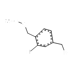 COOCc1ccc(CBr)cc1Cl